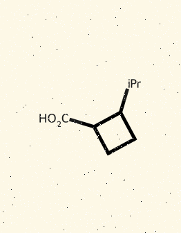 CC(C)C1CCC1C(=O)O